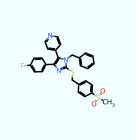 CS(=O)(=O)c1ccc(CSc2nc(-c3ccc(F)cc3)c(-c3ccncc3)n2Cc2ccccc2)cc1